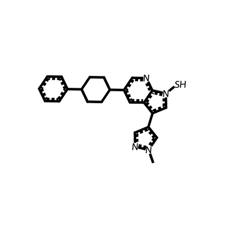 Cn1cc(-c2cn(S)c3ncc(C4CCC(c5ccccc5)CC4)cc23)cn1